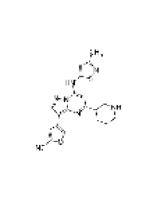 Cc1cc(Nc2cc(C3CCCNC3)nc3c(-c4coc(C#N)c4)cnn23)sn1